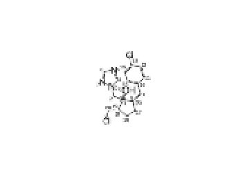 O[C@@]1(Cn2cncn2)[C@@H](Cc2ccc(Cl)cc2)CC[C@@H]1CCl